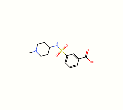 CN1CCC(NS(=O)(=O)c2cccc(C(=O)O)c2)CC1